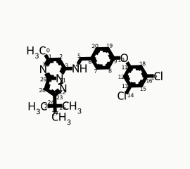 Cc1cc(NCc2ccc(Oc3cc(Cl)cc(Cl)c3)cc2)n2nc(C(C)(C)C)cc2n1